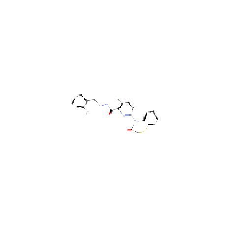 O=C(NCCc1ccccc1Cl)c1nc(N2C(=O)CSc3ccccc32)ccc1Cl